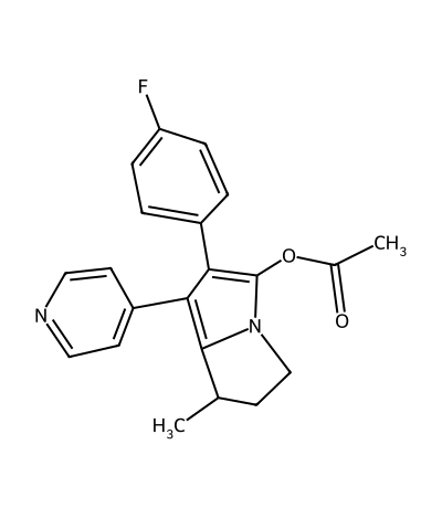 CC(=O)Oc1c(-c2ccc(F)cc2)c(-c2ccncc2)c2n1CCC2C